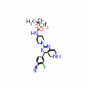 CC(C)(C)OC(=O)NC1CCN(c2nc3c(c(-c4ccc(C#N)c(F)c4)n2)CNCC3)CC1